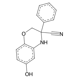 N#CC1(c2ccccc2)COc2ccc(O)cc2N1